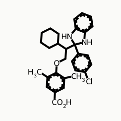 Cc1cc(C(=O)O)cc(C)c1OCC(C1CCCCC1)C1(c2ccc(Cl)cc2)Nc2ccccc2N1